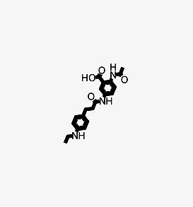 CCNc1ccc(CCC(=O)Nc2ccc(NC(C)=O)c(C(=O)O)c2)cc1